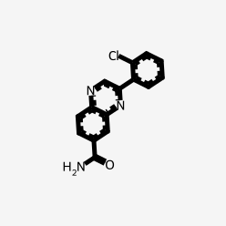 NC(=O)c1ccc2ncc(-c3ccccc3Cl)nc2c1